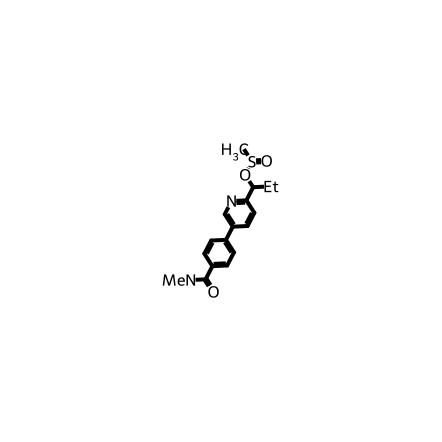 CCC(OS(C)=O)c1ccc(-c2ccc(C(=O)NC)cc2)cn1